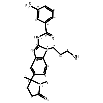 CN1C(=O)CCC1(C)c1ccc2c(c1)nc(NC(=O)c1cccc(C(F)(F)F)c1)n2CCCO